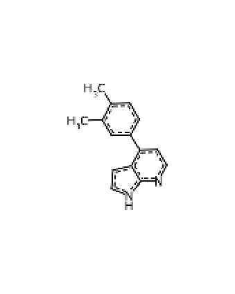 Cc1ccc(-c2ccnc3[nH]ccc23)cc1C